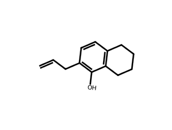 C=CCc1ccc2c(c1O)CCCC2